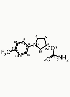 NC(=O)O[C@H]1CCN(c2ccc(C(F)(F)F)nc2)C1